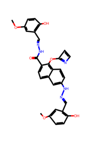 COc1ccc(O)c(C=NNC(=O)c2ccc3cc(NN=Cc4cc(OC)ccc4O)ccc3c2OC2=NC=C2)c1